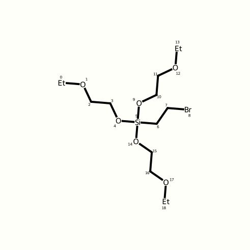 CCOCCO[Si](CCBr)(OCCOCC)OCCOCC